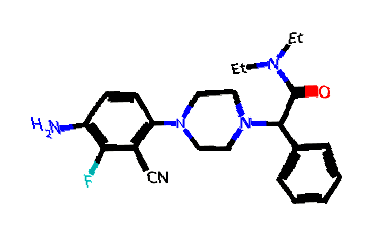 CCN(CC)C(=O)C(c1ccccc1)N1CCN(c2ccc(N)c(F)c2C#N)CC1